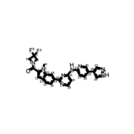 Cn1c(C(=O)N2CC(F)(F)C2)cc2ccc(-c3nccc(Nc4ccc(-c5cn[nH]c5)cn4)n3)cc21